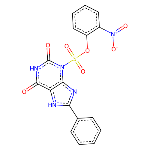 O=c1[nH]c(=O)n(S(=O)(=O)Oc2ccccc2[N+](=O)[O-])c2nc(-c3ccccc3)[nH]c12